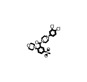 CS(=O)(=O)c1ccc(N2CCOCC2)c(C(=O)N2CCN(c3ccc(Cl)c(Cl)c3)CC2)c1